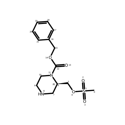 CS(=O)(=O)OC[C@H]1CNCCN1C(=O)OCc1ccccc1